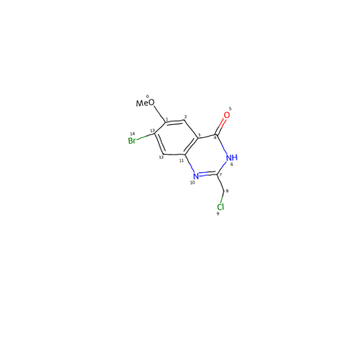 COc1cc2c(=O)[nH]c(CCl)nc2cc1Br